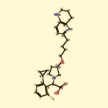 O=C(O)C(c1c(F)cccc1C1CC1)N1CC[C@@H](OCCCCc2ccc3c(n2)CCCN3)C1